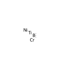 [B].[Cr].[Ni].[Ti]